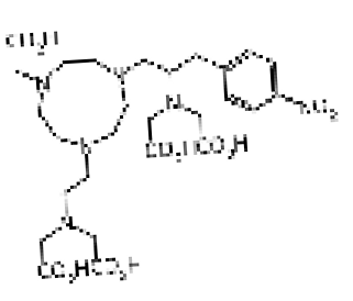 O=C(O)CN1CCN(CCN(CC(=O)O)CC(=O)O)CCN(CC(Cc2ccc([N+](=O)[O-])cc2)N(CC(=O)O)CC(=O)O)CC1